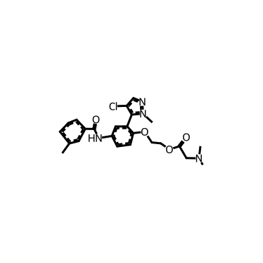 Cc1cccc(C(=O)Nc2ccc(OCCOC(=O)CN(C)C)c(-c3c(Cl)cnn3C)c2)c1